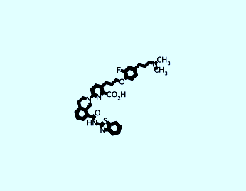 CN(C)CCCc1ccc(OCCCc2ccc(N3CCc4cccc(C(=O)Nc5nc6ccccc6s5)c4C3)nc2C(=O)O)c(F)c1